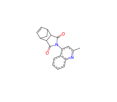 Cc1cc(N2C(=O)C3C4C=CC(C4)C3C2=O)c2ccccc2n1